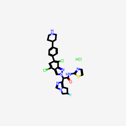 Cl.O=C(Nc1nccs1)C(c1ncn2c1CC(F)C2)n1cc2c(Cl)cc(-c3ccc(C4CCNCC4)cc3)c(Cl)c2n1